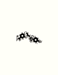 O=S(=O)(OCC1COc2ccc(C(F)(F)F)cc2O1)c1ccc(Br)cc1